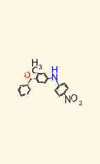 Cc1cc(Nc2ccc([N+](=O)[O-])cc2)ccc1C(=O)c1ccccc1